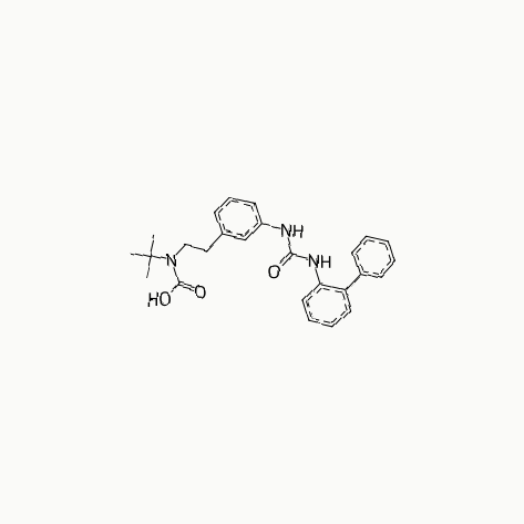 CC(C)(C)N(CCc1cccc(NC(=O)Nc2ccccc2-c2ccccc2)c1)C(=O)O